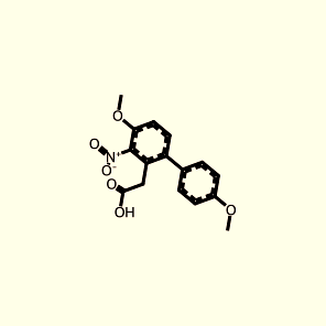 COc1ccc(-c2ccc(OC)c([N+](=O)[O-])c2CC(=O)O)cc1